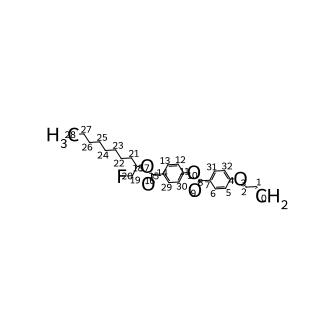 C=CCOc1ccc(C(=O)Oc2ccc(C(=O)OC(CF)CCCCCCCC)cc2)cc1